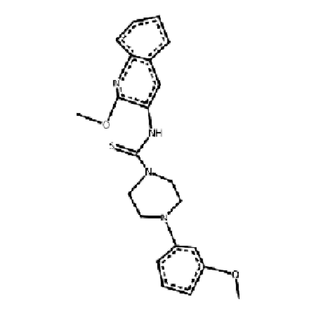 COc1cccc(N2CCN(C(=S)Nc3cc4ccccc4nc3OC)CC2)c1